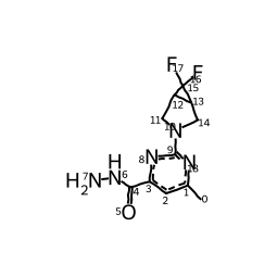 Cc1cc(C(=O)NN)nc(N2CC3C(C2)C3(F)F)n1